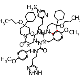 CCCOC1(C2CCCCC2)CCN(C(=O)[C@@H](Cc2ccc(OC)cc2)N(C(=O)NCCc2cn(C)cn2)N(C(=O)NCCc2c[nH]nn2)[C@H](Cc2ccc(OC)cc2)C(=O)N2CCC(OCCC)(C3CCCCC3)CC2)CC1